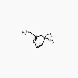 CC1(C)C=CN=C([AsH2])C1